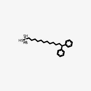 S[PH](S)(S)CCCCCCCCCCCC(c1ccccc1)c1ccccc1